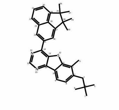 Cc1c(CC(C)(C)C)ccc2c1sc1c(-c3cc4c5c(cccc5c3)C(C)(C)C4(C)C)ncnc12